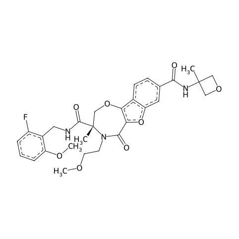 COCCN1C(=O)c2oc3cc(C(=O)NC4(C)COC4)ccc3c2OC[C@@]1(C)C(=O)NCc1c(F)cccc1OC